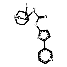 O=C(N[C@H]1CN2CCC1CC2)Oc1ccc(-c2cccnc2)s1